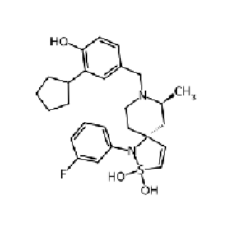 C[C@H]1C[C@@]2(C=CS(O)(O)N2c2cccc(F)c2)CCN1Cc1ccc(O)c(C2CCCC2)c1